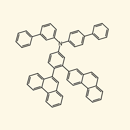 c1ccc(-c2ccc(N(c3cccc(-c4ccccc4)c3)c3ccc(-c4cc5ccccc5c5ccccc45)c(-c4ccc5c(ccc6ccccc65)c4)c3)cc2)cc1